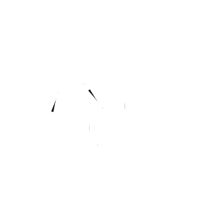 C/C=C1/CC[C@H]2[C@@H]3CC[C@@H]4C[C@@H](O)CC[C@@H]4[C@H]3CC[C@]12C